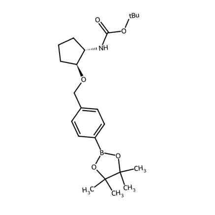 CC(C)(C)OC(=O)N[C@H]1CCC[C@@H]1OCc1ccc(B2OC(C)(C)C(C)(C)O2)cc1